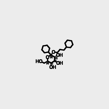 OC[C@H]1O[C@](OCCCC2CCCCC2)(C2CCCCC2)[C@H](O)[C@@H](O)[C@@H]1O